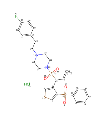 C=CC(c1cscc1S(=O)(=O)c1ccccc1)S(=O)(=O)N1CCN(CCc2ccc(F)cc2)CC1.Cl